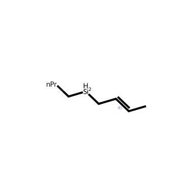 C/C=C/C[SiH2]CCCC